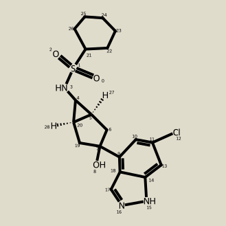 O=S(=O)(NC1[C@H]2CC(O)(c3cc(Cl)cc4[nH]ncc34)C[C@@H]12)C1CCCCC1